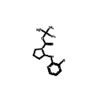 CC(C)(C)OC(=O)N1CCCC1Nc1ncccc1Cl